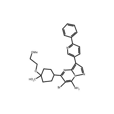 COCCOC1(C(=O)O)CCC(c2nc3c(-c4ccc(-c5ccccc5)nc4)cnn3c(N)c2Br)CC1